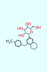 Cc1ccc(Cc2cc([C@@H]3O[C@H](CO)[C@H](O)C(O)[C@@H]3O)cc3c2CCCC3)cc1